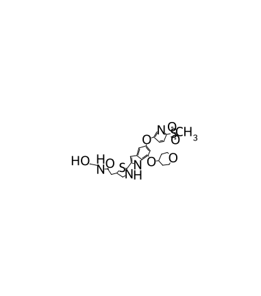 CS(=O)(=O)c1ccc(Oc2cc(OC3CCOCC3)c3[nH]c(C4=NCC(CC(=O)NCCO)S4)cc3c2)cn1